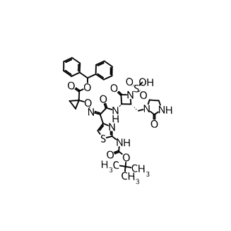 CC(C)(C)OC(=O)Nc1nc(C(=NOC2(C(=O)OC(c3ccccc3)c3ccccc3)CC2)C(=O)N[C@@H]2C(=O)N(S(=O)(=O)O)[C@@H]2CN2CCNC2=O)cs1